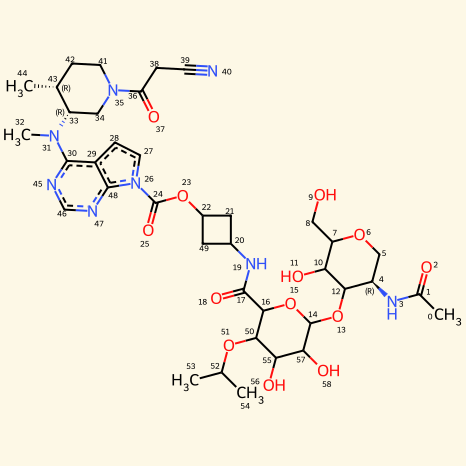 CC(=O)N[C@@H]1COC(CO)C(O)C1OC1OC(C(=O)NC2CC(OC(=O)n3ccc4c(N(C)[C@H]5CN(C(=O)CC#N)CC[C@H]5C)ncnc43)C2)C(OC(C)C)C(O)C1O